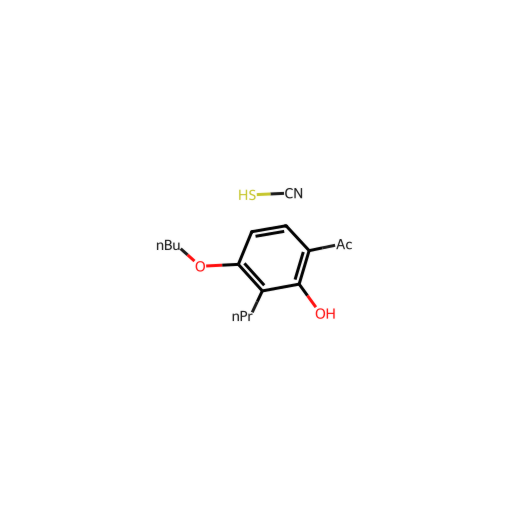 CCCCOc1ccc(C(C)=O)c(O)c1CCC.N#CS